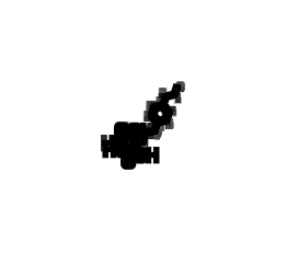 CCCc1ccc(CCCC(P(=O)(O)O)P(=O)(O)O)cc1